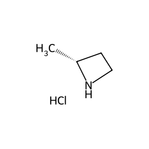 C[C@@H]1CCN1.Cl